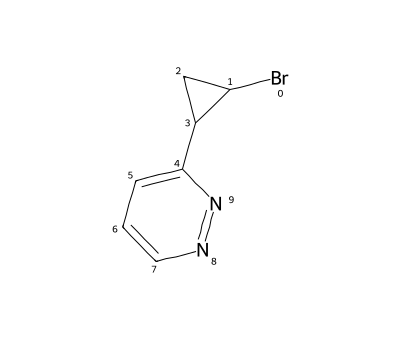 BrC1CC1c1cccnn1